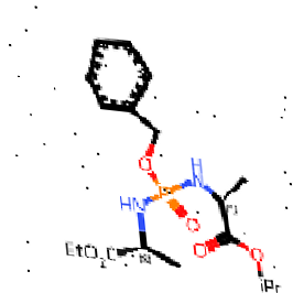 CCOC(=O)[C@H](C)NP(=O)(N[C@@H](C)C(=O)OC(C)C)OCc1ccccc1